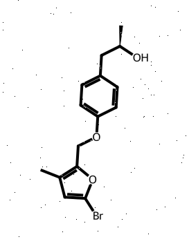 Cc1cc(Br)oc1COc1ccc(C[C@@H](C)O)cc1